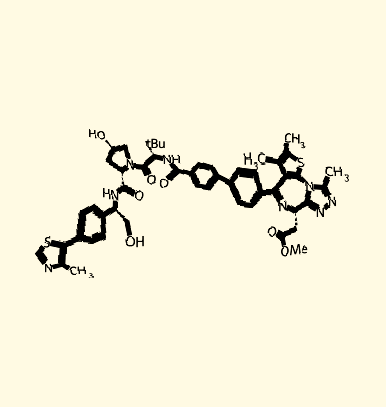 COC(=O)C[C@@H]1N=C(c2ccc(-c3ccc(C(=O)N[C@H](C(=O)N4C[C@H](O)C[C@H]4C(=O)N[C@@H](CO)c4ccc(-c5scnc5C)cc4)C(C)(C)C)cc3)cc2)c2c(sc(C)c2C)-n2c(C)nnc21